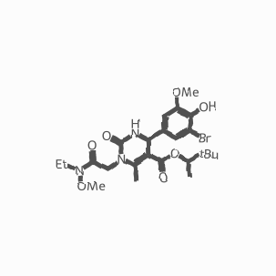 CCN(OC)C(=O)CN1C(=O)NC(c2cc(Br)c(O)c(OC)c2)C(C(=O)OC(C)C(C)(C)C)=C1C